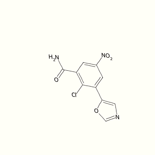 NC(=O)c1cc([N+](=O)[O-])cc(-c2cnco2)c1Cl